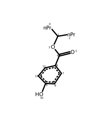 CCCC(CCC)OC(=O)c1ccc(O)cc1